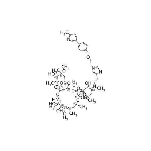 CO[C@]1(C)C[C@H](O[C@H]2[C@H](C)[C@@H](O[C@@H]3O[C@H](C)C[C@H](N(C)CCc4cn(CCOCc5ccc(-c6ccc(C)nc6)cc5)nn4)[C@H]3O)[C@](C)(O)C[C@@H](C)CN(C)[C@H](C)[C@@H](O)[C@](C)(O)[C@@H](I)OC(=O)[C@@H]2C)O[C@@H](C)[C@@H]1O